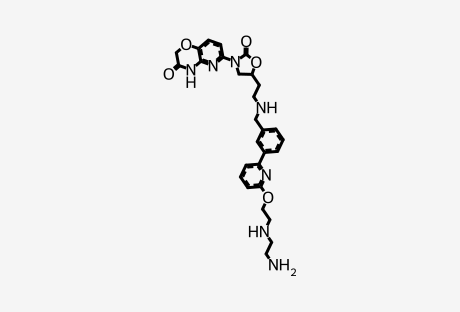 NCCNCCOc1cccc(-c2cccc(CNCCC3CN(c4ccc5c(n4)NC(=O)CO5)C(=O)O3)c2)n1